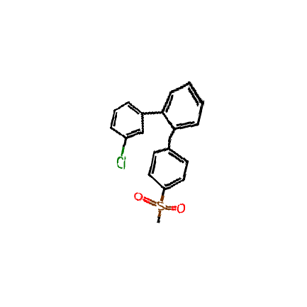 CS(=O)(=O)c1ccc(-c2ccccc2-c2cccc(Cl)c2)cc1